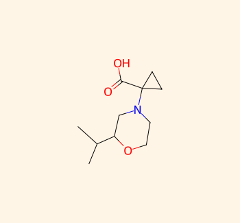 CC(C)C1CN(C2(C(=O)O)CC2)CCO1